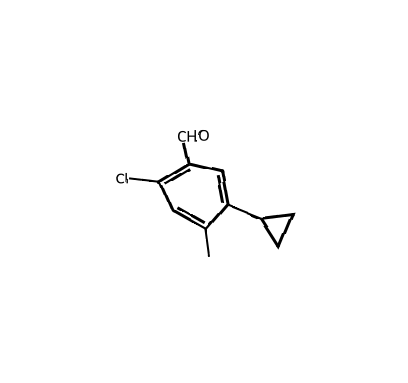 Cc1cc(Cl)c(C=O)cc1C1CC1